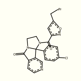 CC(C)Cc1cc(C(=O)N2CCN3C(=O)c4ccncc4C23c2ccc(Cl)cc2)no1